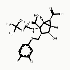 CC(C)(C)OC(=O)N[C@]1(C(=O)O)[C@@H]2[C@@H](C(=O)O)[C@@H]2[C@H](O)[C@H]1CSc1ccc(F)c(Cl)c1